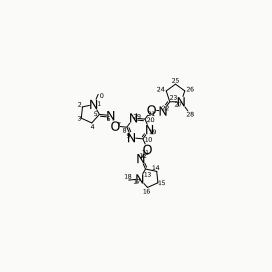 CN1CCCC1=NOc1nc(ON=C2CCCN2C)nc(ON=C2CCCN2C)n1